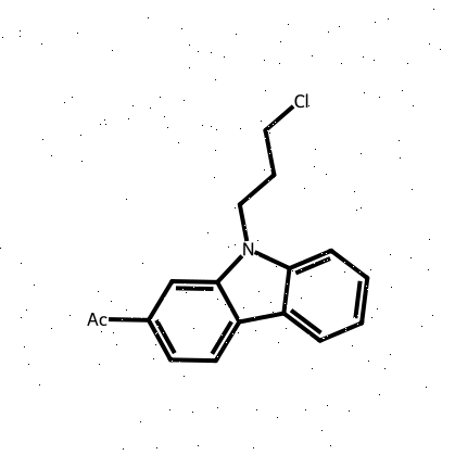 CC(=O)c1ccc2c3ccccc3n(CCCCl)c2c1